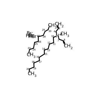 Br.Br.C=CC[N+](C)(CC=C)CCCCCCCCCCCC.CCCCCCCCCC.[Br-]